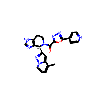 Cc1cccn2nc([C@H]3c4nc[nH]c4CCN3C(=O)c3nnc(-c4ccncc4)o3)cc12